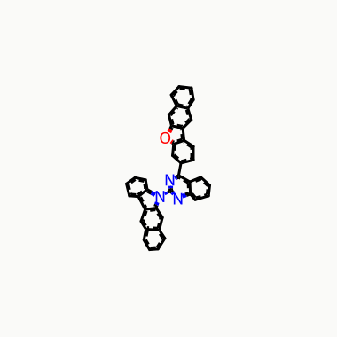 c1ccc2cc3c(cc2c1)oc1cc(-c2nc(-n4c5ccccc5c5cc6ccccc6cc54)nc4ccccc24)ccc13